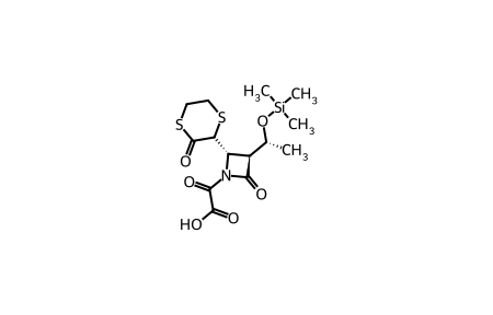 C[C@@H](O[Si](C)(C)C)[C@H]1C(=O)N(C(=O)C(=O)O)[C@@H]1C1SCCSC1=O